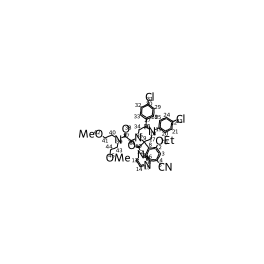 CCOc1cc(C#N)ccc1C1(C(=O)n2ccnc2)CN(c2ccc(Cl)cc2)[C@H](c2ccc(Cl)cc2)CN1CC(=O)N(CCOC)CCOC